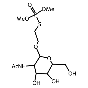 COP(=O)(OC)SCCOC1OC(CO)C(O)C(O)C1NC(C)=O